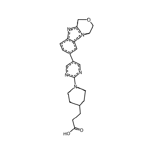 O=C(O)CCC1CCN(c2ncc(-c3ccc4nc5n(c4c3)CCOC5)cn2)CC1